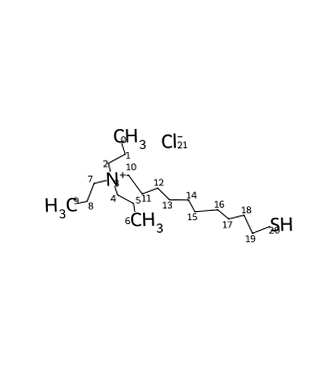 CCC[N+](CCC)(CCC)CCCCCCCCCCS.[Cl-]